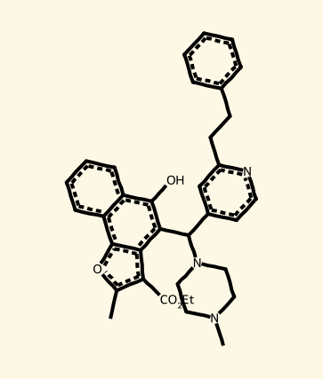 CCOC(=O)c1c(C)oc2c1c(C(c1ccnc(CCc3ccccc3)c1)N1CCN(C)CC1)c(O)c1ccccc12